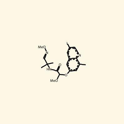 CON=CC(C)(C)NC(=O)C(OC)Oc1cc(C)c2ncc(I)cc2c1